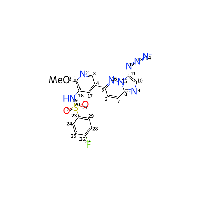 COc1ncc(-c2ccc3ncc(N=[N+]=[N-])n3n2)cc1NS(=O)(=O)c1ccc(F)cc1